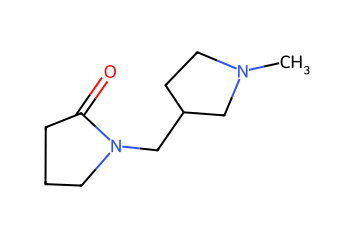 CN1CCC(CN2CCCC2=O)C1